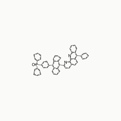 O=P(c1ccccc1)(c1ccccc1)c1ccc(-c2c3ccccc3c(-c3ccc4ccc5c(-c6ccccc6)c6ccccc6nc5c4n3)c3ccccc23)cc1